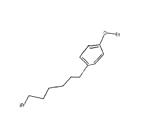 CCOc1ccc(CCCCCCC(C)C)cc1